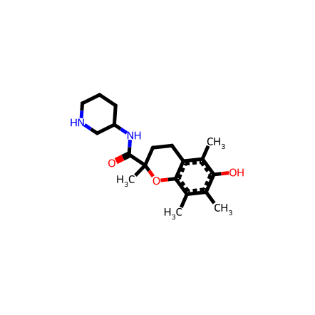 Cc1c(C)c2c(c(C)c1O)CCC(C)(C(=O)NC1CCCNC1)O2